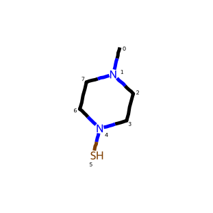 CN1CCN(S)CC1